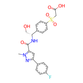 Cn1nc(-c2ccc(F)cc2)cc1C(=O)N[C@H](CO)c1ccc(S(=O)(=O)CC(=O)O)cc1